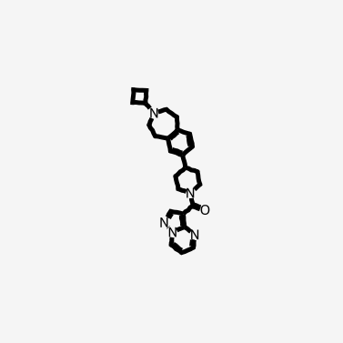 O=C(c1cnn2cccnc12)N1CCC(c2ccc3c(c2)CCN(C2CCC2)CC3)CC1